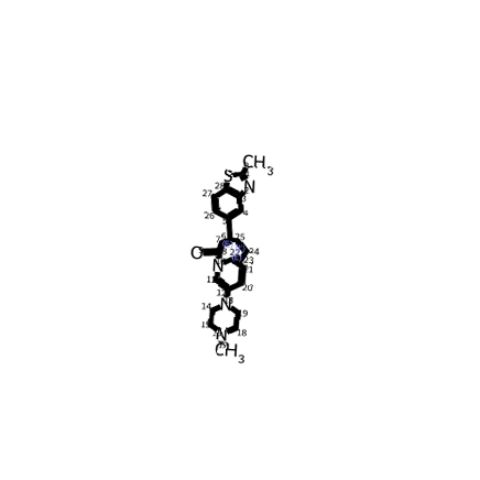 Cc1nc2cc(C3=C\C(=O)N4C=C(N5CCN(C)CC5)C=C\C4=C/C=C/3)ccc2s1